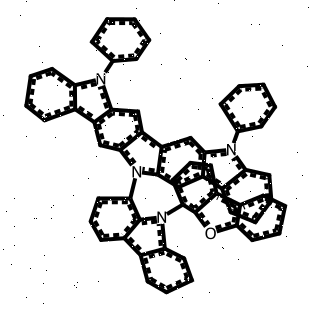 c1ccc(-n2c3ccccc3c3cc4c(cc32)c2cc3c(cc2n4-c2cccc4c5ccccc5n(-c5cccc6c5oc5ccccc56)c24)c2ccccc2n3-c2ccccc2)cc1